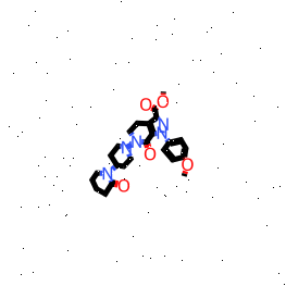 COC(=O)c1nn(-c2ccc(OC)cc2)c2c1CCN(N1CCC(N3CCCCC3=O)CC1)C2=O